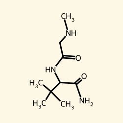 CNCC(=O)NC(C(N)=O)C(C)(C)C